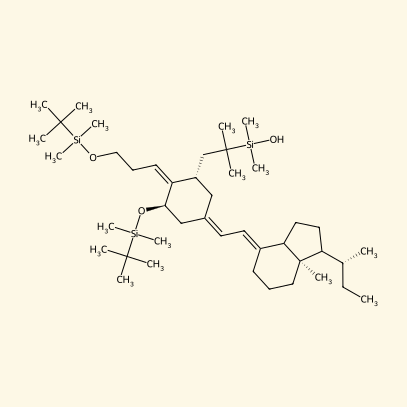 CC[C@@H](C)C1CCC2/C(=C/C=C3\C[C@@H](CC(C)(C)[Si](C)(C)O)/C(=C/CCO[Si](C)(C)C(C)(C)C)[C@H](O[Si](C)(C)C(C)(C)C)C3)CCC[C@@]21C